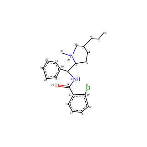 CCCC1CCC(C(NC(=O)c2ccccc2Cl)c2ccccc2)N(C)C1